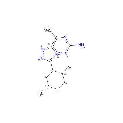 CSc1nc(N)nn2c(C3CC(C(F)(F)F)CCC3C)nnc12